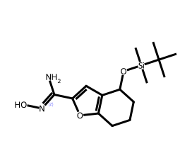 CC(C)(C)[Si](C)(C)OC1CCCc2oc(/C(N)=N/O)cc21